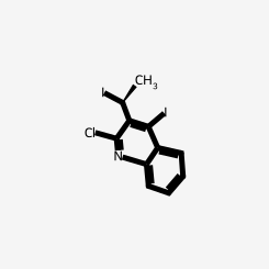 C[C@H](I)c1c(Cl)nc2ccccc2c1I